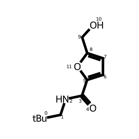 CC(C)(C)CNC(=O)c1ccc(CO)o1